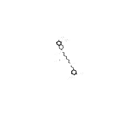 CCCN(CCCCCCNCCc1ccc(OC)c(OC)c1)[C@H]1CCc2c(ccc(OC)c2OC)C1.Cl.Cl